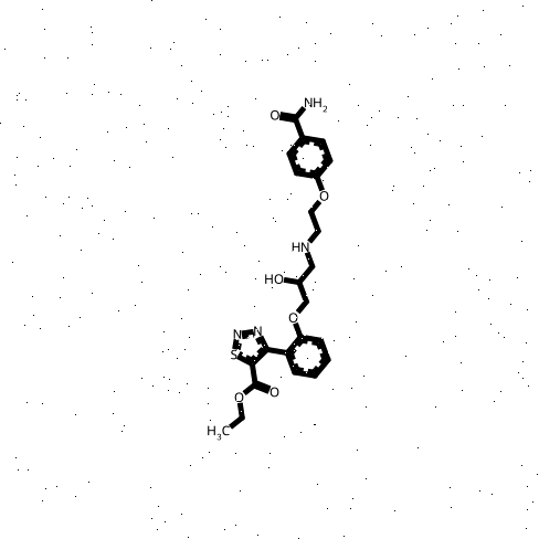 CCOC(=O)c1snnc1-c1ccccc1OCC(O)CNCCOc1ccc(C(N)=O)cc1